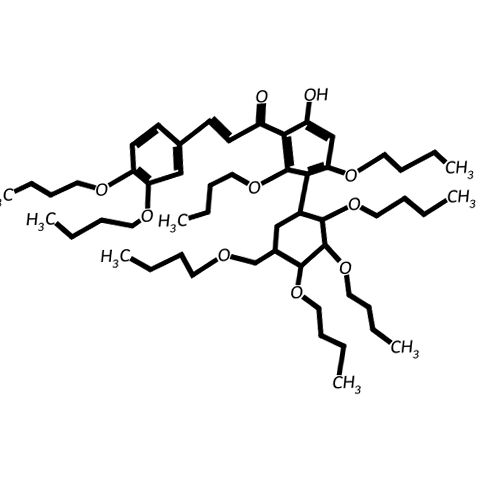 CCCCOCC1CC(c2c(OCCCC)cc(O)c(C(=O)/C=C/c3ccc(OCCCC)c(OCCCC)c3)c2OCCCC)C(OCCCC)C(OCCCC)C1OCCCC